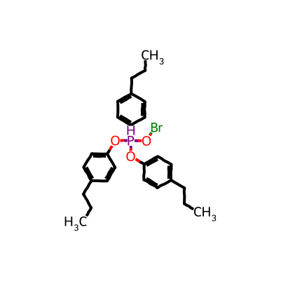 CCCc1ccc(O[PH](OBr)(Oc2ccc(CCC)cc2)c2ccc(CCC)cc2)cc1